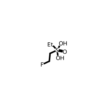 CCS(=O)(O)(O)CCF